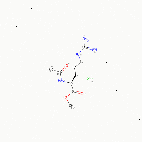 COC(=O)[C@H](CCCNC(=N)N)NC(C)=O.Cl